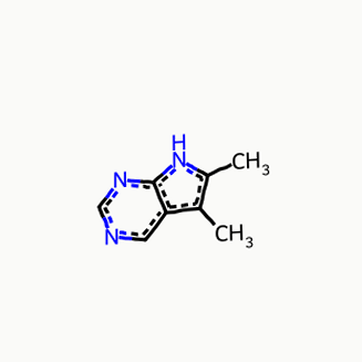 Cc1[nH]c2ncncc2c1C